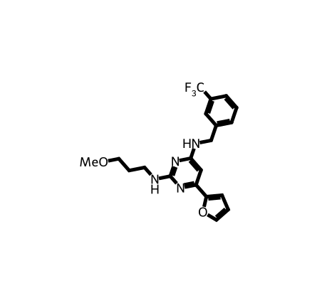 COCCCNc1nc(NCc2cccc(C(F)(F)F)c2)cc(-c2ccco2)n1